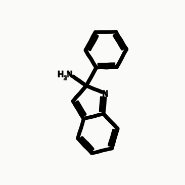 NC1(c2ccccc2)C=c2ccccc2=N1